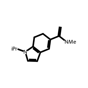 C=C(NC)C1=Cc2ccn(C(C)C)c2CC1